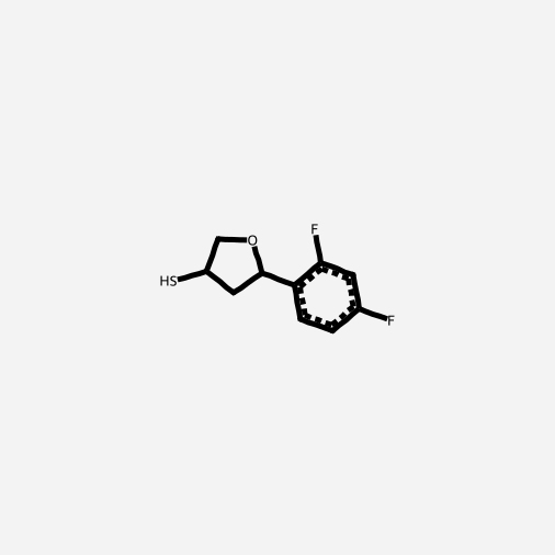 Fc1ccc(C2CC(S)CO2)c(F)c1